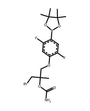 CC(C)CC(C)(COc1cc(F)c(B2OC(C)(C)C(C)(C)O2)cc1F)OC(N)=O